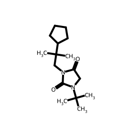 CC(C)(CN1C(=O)CN(C(C)(C)C)C1=O)C1CCCC1